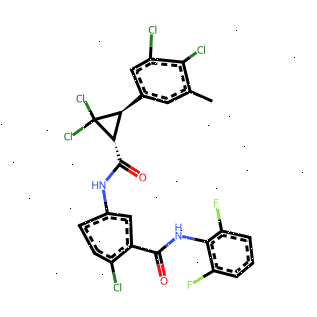 Cc1cc([C@H]2[C@H](C(=O)Nc3ccc(Cl)c(C(=O)Nc4c(F)cccc4F)c3)C2(Cl)Cl)cc(Cl)c1Cl